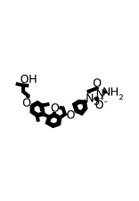 Cc1cc(OCCC(C)(C)O)cc(C)c1-c1cccc2c1OC[C@H]2Oc1ccc(N2CC(=O)N(N)[S+]2[O-])cc1